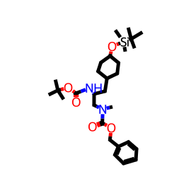 CN(CC(CC1CCC(O[Si](C)(C)C(C)(C)C)CC1)NC(=O)OC(C)(C)C)C(=O)OCc1ccccc1